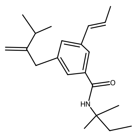 C=C(Cc1cc(/C=C/C)cc(C(=O)NC(C)(C)CC)c1)C(C)C